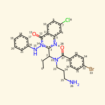 CCC(c1nc2cc(Cl)ccc2c(=O)n1Nc1ccccc1)N(CCCN)C(=O)c1ccc(Br)cc1